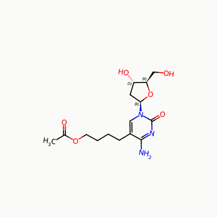 CC(=O)OCCCCc1cn([C@H]2C[C@H](O)[C@@H](CO)O2)c(=O)nc1N